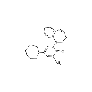 NC1=CC(C2CCCCCC2)=CC(N2CCN=Cc3ccccc32)C1=O